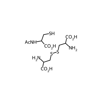 CC(=O)NC(CS)C(=O)O.NC(CSSCC(N)C(=O)O)C(=O)O